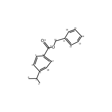 CC(C)c1ccc(C(=O)OCc2ccccc2)cc1